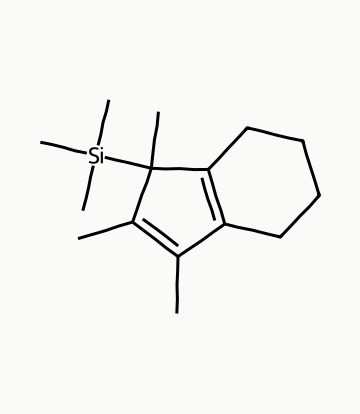 CC1=C(C)C(C)([Si](C)(C)C)C2=C1CCCC2